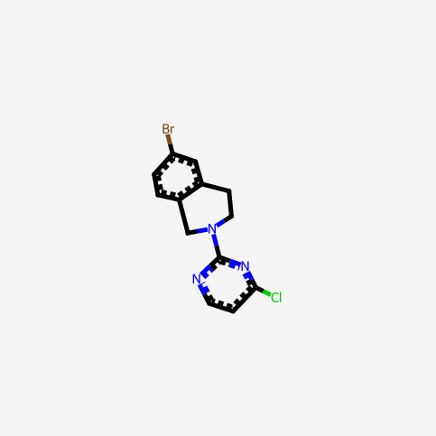 Clc1ccnc(N2CCc3cc(Br)ccc3C2)n1